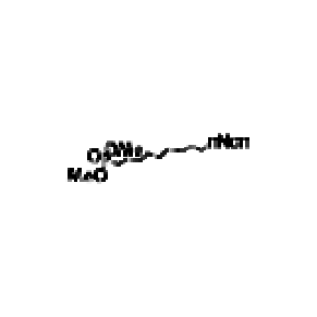 CCCCCCCCCCCCCCCCCCP(=O)(OC)OC